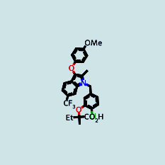 CCC(C)(Oc1cc(Cn2c(C)c(Oc3ccc(OC)cc3)c3ccc(C(F)(F)F)cc32)ccc1Cl)C(=O)O